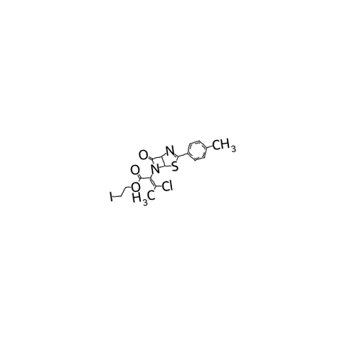 CC(Cl)=C(C(=O)OCCI)N1C(=O)C2N=C(c3ccc(C)cc3)SC21